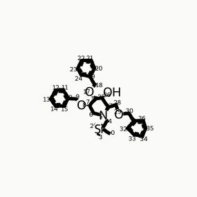 C[Si](C)(C)CN1C[C@H](OCc2ccccc2)[C@@H](OCc2ccccc2)[C@H](O)C1COCc1ccccc1